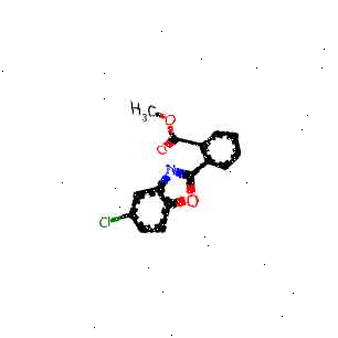 COC(=O)c1ccccc1-c1nc2cc(Cl)ccc2o1